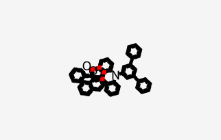 c1ccc(-c2cc(-c3ccccc3)cc(N(c3ccccc3-c3ccc4oc5ccccc5c4c3)c3cccc4oc5c6ccccc6ccc5c34)c2)cc1